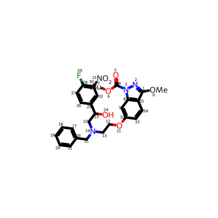 COc1nn(C(=O)OC(C)(C)C)c2cc(OCCN(Cc3ccccc3)CC(O)c3ccc(F)c([N+](=O)[O-])c3)ccc12